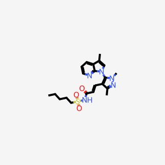 CCCCCS(=O)(=O)NC(=O)C=Cc1c(C)nn(C)c1-n1cc(C)c2cccnc21